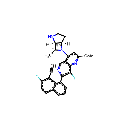 C#Cc1c(F)ccc2cccc(-c3ncc4c(N5[C@@H]6CCN[C@@H]6[C@@H]5C)cc(OC)nc4c3F)c12